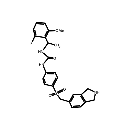 COc1cccc(F)c1C(C)NC(=O)Nc1ccc(S(=O)(=O)Cc2ccc3c(c2)CNC3)cc1